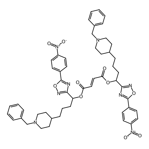 O=C(/C=C/C(=O)OC(CCCC1CCN(Cc2ccccc2)CC1)c1noc(-c2ccc([N+](=O)[O-])cc2)n1)OC(CCCC1CCN(Cc2ccccc2)CC1)c1noc(-c2ccc([N+](=O)[O-])cc2)n1